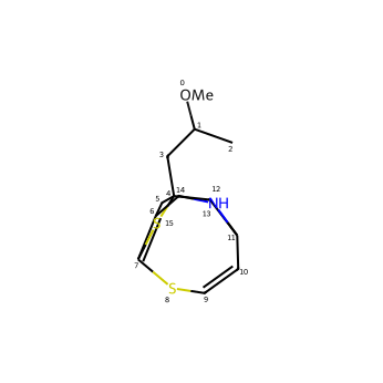 COC(C)CC12CC3=C(SC=CC(C1)NC3)S2